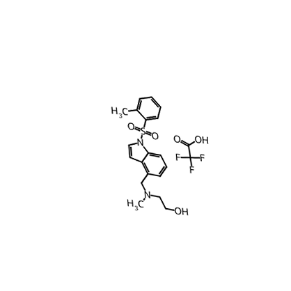 Cc1ccccc1S(=O)(=O)n1ccc2c(CN(C)CCO)cccc21.O=C(O)C(F)(F)F